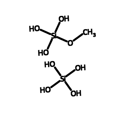 CO[Si](O)(O)O.O[Si](O)(O)O